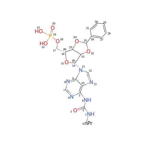 CCCNC(=O)Nc1ncnc2c1ncn2[C@@H]1O[C@H](COP(=O)(O)O)C2OC(c3ccccc3)OC21